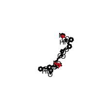 CC(C)(C)OC(=O)N(CCCCOC(=O)c1ccc(COc2cccc(C(NC(=O)OC3CN4CCC3CC4)c3ccccc3)c2)o1)C[C@H](O[Si](C)(C)C(C)(C)C)c1ccc(OCc2ccccc2)c2[nH]c(=O)ccc12